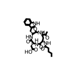 CCCCC(=O)N[C@H]1C[C@@](C)(C(C)=O)NC(=O)[C@H](Cc2c[nH]c3ccccc23)NC(=O)[C@H](CC(=O)O)NC1=O